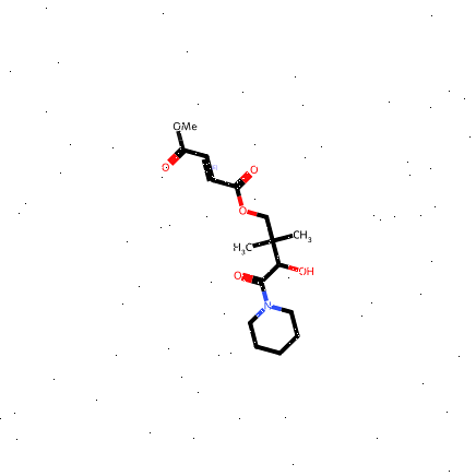 COC(=O)/C=C/C(=O)OCC(C)(C)C(O)C(=O)N1CCCCC1